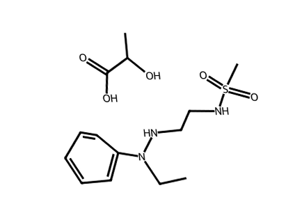 CC(O)C(=O)O.CCN(NCCNS(C)(=O)=O)c1ccccc1